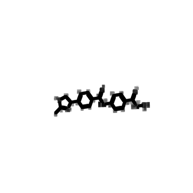 CC1=NC(c2ccc(C(=O)Nc3ccc(C(=O)NO)cc3)cc2)CS1